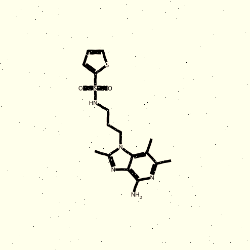 Cc1nc(N)c2nc(C)n(CCCNS(=O)(=O)c3cccs3)c2c1C